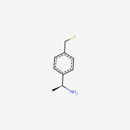 C[C@H](N)c1ccc(CF)cc1